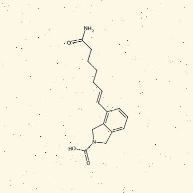 NC(=O)CCCC/C=C/c1cccc2c1CN(C(=O)O)C2